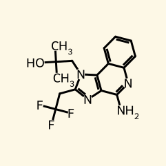 CC(C)(O)Cn1c(CC(F)(F)F)nc2c(N)nc3ccccc3c21